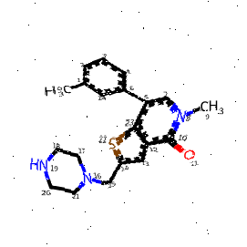 Cc1cccc(-c2cn(C)c(=O)c3cc(CN4CCNCC4)sc23)c1